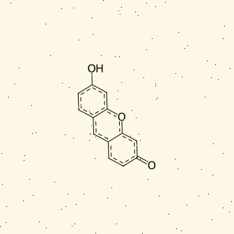 O=c1ccc2[c]c3ccc(O)cc3oc-2c1